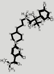 CN(C)C(=O)c1ccc(N2CCC(CCCN(C)C(=O)[C@](O)(c3cc(Cl)cc(Cl)c3)C(F)(F)F)CC2)nc1Cl